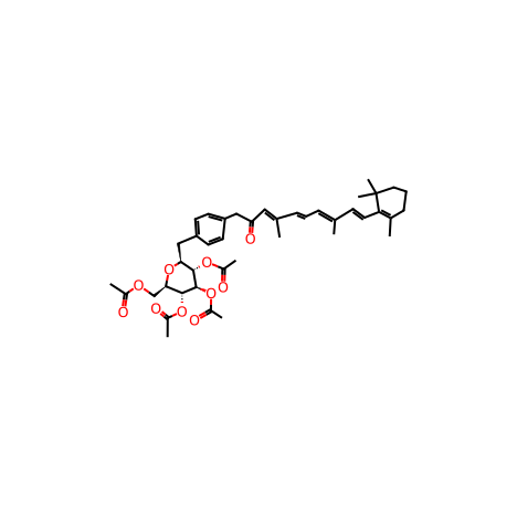 CC(=O)OC[C@H]1O[C@@H](Cc2ccc(CC(=O)/C=C(C)/C=C/C=C(C)/C=C/C3=C(C)CCCC3(C)C)cc2)[C@H](OC(C)=O)[C@@H](OC(C)=O)[C@@H]1OC(C)=O